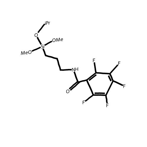 CO[Si](CCCNC(=O)c1c(F)c(F)c(F)c(F)c1F)(OC)OC(C)C